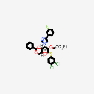 CCOC(=O)CO[C@@H]1[C@@H](n2cnc(-c3cccc(F)c3)c2)[C@H]2OC(c3ccccc3)OC[C@H]2O[C@@H]1Sc1ccc(Cl)c(Cl)c1